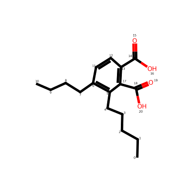 CCCCCc1c(CCCC)ccc(C(=O)O)c1C(=O)O